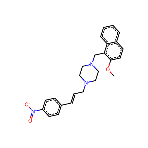 COc1ccc2ccccc2c1CN1CCN(C/C=C/c2ccc([N+](=O)[O-])cc2)CC1